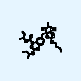 CCCCOC(=O)O[C@](Cc1ccc(OC(=O)OC(C)CC)c(OC(=O)OC(C)CC)c1)(NC(C)C)C(=O)O